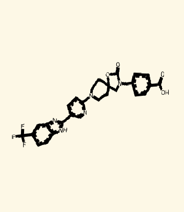 O=C(O)c1ccc(N2CC3(CCN(c4ccc(-c5nc6cc(C(F)(F)F)ccc6[nH]5)cn4)CC3)OC2=O)cc1